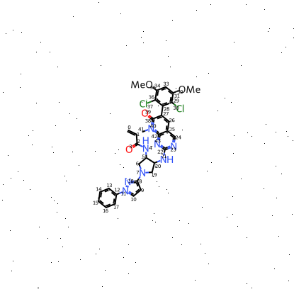 C=CC(=O)NC1CN(c2ccn(-c3ccccc3)n2)CC1Nc1ncc2cc(-c3c(Cl)c(OC)cc(OC)c3Cl)c(=O)n(C)c2n1